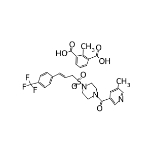 Cc1c(C(=O)O)cccc1C(=O)O.Cc1cncc(C(=O)N2CCN(S(=O)(=O)CC=Cc3ccc(C(F)(F)F)cc3)CC2)c1